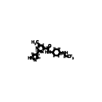 Cc1cc(C(=O)NC2CCC(NCC(F)(F)F)CC2)nc(-c2cn[nH]c2)n1